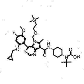 COc1cc(-c2ncnc3c(C(=O)N[C@H]4CC[C@@H](N(C(=O)O)C(C)(C)C)CC4)c(C)n(COCC[Si](C)(C)C)c23)c(OCC2CC2)cc1F